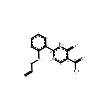 C=CCOc1ccccc1-c1ncc(C(=O)O)c(=O)[nH]1